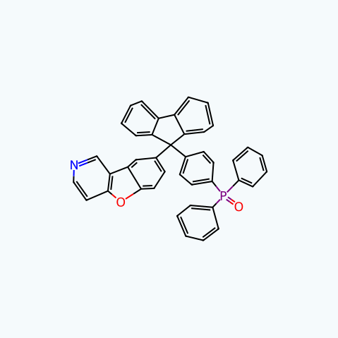 O=P(c1ccccc1)(c1ccccc1)c1ccc(C2(c3ccc4oc5ccncc5c4c3)c3ccccc3-c3ccccc32)cc1